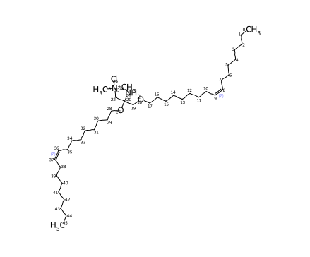 CCCCCCCC/C=C\CCCCCCCCOCC(N)(C[N+](C)(C)Cl)OCCCCCCCC/C=C\CCCCCCCC